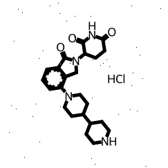 Cl.O=C1CCC(N2Cc3c(cccc3N3CCC(C4CCNCC4)CC3)C2=O)C(=O)N1